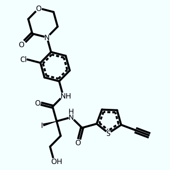 C#Cc1ccc(C(=O)N[C@](I)(CCO)C(=O)Nc2ccc(N3CCOCC3=O)c(Cl)c2)s1